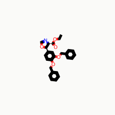 CCOC(=O)[C@H]1N=CO[C@@H]1c1ccc(OCc2ccccc2)c(OCc2ccccc2)c1